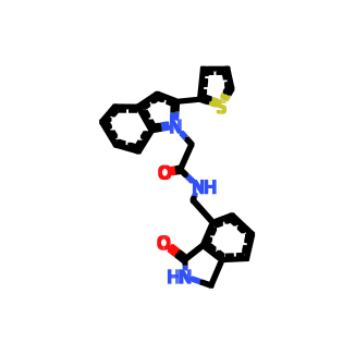 O=C(Cn1c(-c2cccs2)cc2ccccc21)NCc1cccc2c1C(=O)NC2